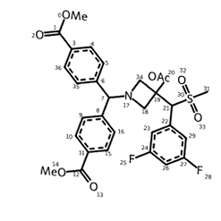 COC(=O)c1ccc(C(c2ccc(C(=O)OC)cc2)N2CC(OC(C)=O)(C(c3cc(F)cc(F)c3)S(C)(=O)=O)C2)cc1